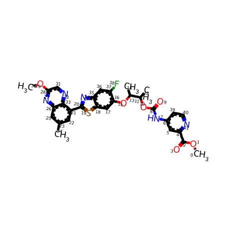 COC(=O)c1cc(NC(=O)OC(C)C(C)Oc2cc3sc(-c4cc(C)cc5nc(OC)cnc45)nc3cc2F)ccn1